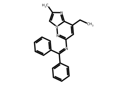 CCc1cc(N=C(c2ccccc2)c2ccccc2)nn2cc(C)nc12